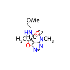 COCCNC(=O)c1c(C)oc2ncnc(N(C)C3(C)CC3)c12